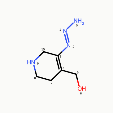 NN=NC1=C(CO)CCNC1